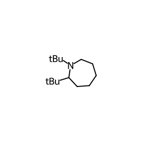 CC(C)(C)C1CCCCCN1C(C)(C)C